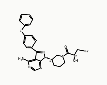 CC(C)C[C@@H](O)C(=O)N1CCC[C@@H](n2nc(-c3ccc(Oc4ccccc4)cc3)c3c(N)ncnc32)C1